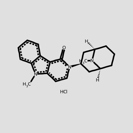 CN1[C@@H]2CCC[C@H]1C[C@@H](n1ccc3c(c1=O)c1ccccc1n3C)C2.Cl